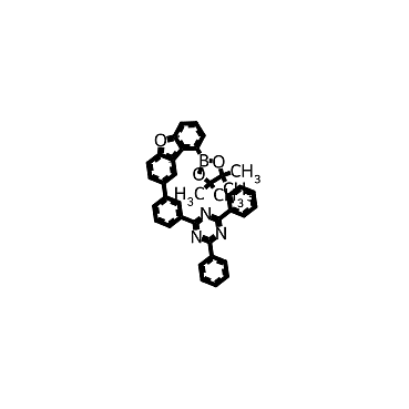 CC1(C)OB(c2cccc3oc4ccc(-c5cccc(-c6nc(-c7ccccc7)nc(-c7ccccc7)n6)c5)cc4c23)OC1(C)C